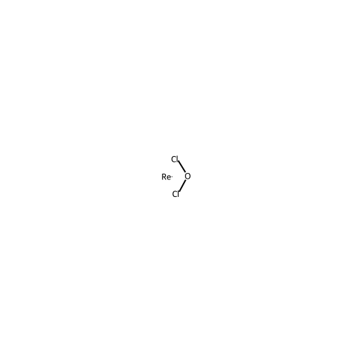 ClOCl.[Re]